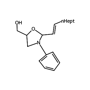 CCCCCCCC=CC1OC(CO)CN1c1ccccc1